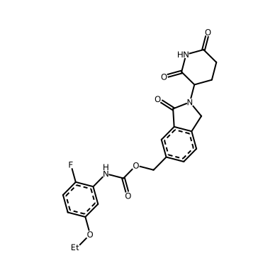 CCOc1ccc(F)c(NC(=O)OCc2ccc3c(c2)C(=O)N(C2CCC(=O)NC2=O)C3)c1